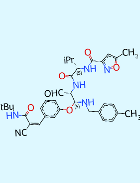 Cc1ccc(CN[C@@H](Oc2cccc(C=C(C#N)C(=O)NC(C)(C)C)c2)C(C=O)NC(=O)[C@@H](NC(=O)c2cc(C)on2)C(C)C)cc1